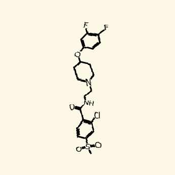 CS(=O)(=O)c1ccc(C(=O)NCCN2CCC(Oc3ccc(F)c(F)c3)CC2)c(Cl)c1